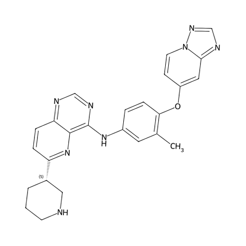 Cc1cc(Nc2ncnc3ccc([C@H]4CCCNC4)nc23)ccc1Oc1ccn2ncnc2c1